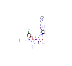 CCN1C(=O)[C@@H](CNc2cccc(C(=O)NCCCN3CCCC3)c2)S/C1=C(/N)C(=O)NC(C)c1ccc(F)cc1